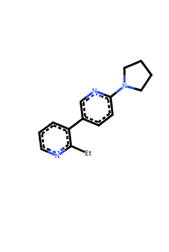 CCc1ncccc1-c1ccc(N2CCCC2)nc1